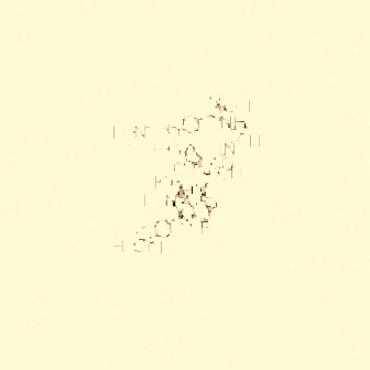 C[C@@H]1NC(=O)[C@@H](N(C)C(=O)CNC(=O)c2c(N)nc(-c3ccc(C(C)(C)C)cc3)nc2C(F)F)c2cc(OC[C@H](O)CN)c(O)c(c2)-c2cc(ccc2OCCCN)C[C@@H](C(=O)O)NC1=O